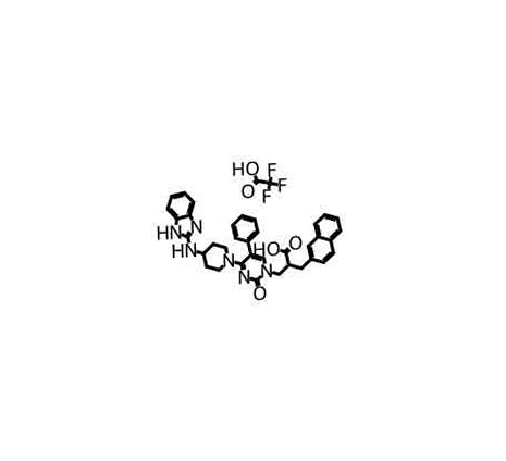 O=C(O)C(Cc1ccc2ccccc2c1)Cn1cc(-c2ccccc2)c(N2CCC(Nc3nc4ccccc4[nH]3)CC2)nc1=O.O=C(O)C(F)(F)F